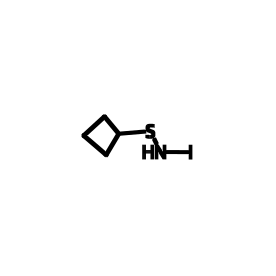 INSC1CCC1